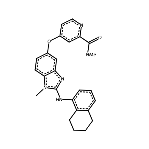 CNC(=O)c1cc(Oc2ccc3c(c2)nc(Nc2cccc4c2CCCC4)n3C)ccn1